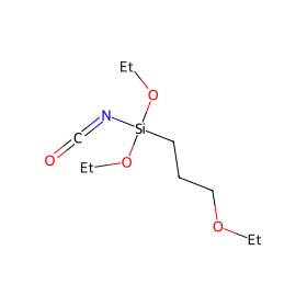 CCOCCC[Si](N=C=O)(OCC)OCC